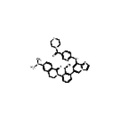 CN(C)c1ccc2c(c1)CCN(c1cccc(-c3cc(Nc4ccc(C(=O)N5CCOCC5)cn4)c4nccn4c3)c1CO)C2=O